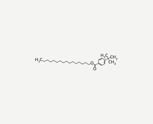 CCCCCCCCCCCCCCCCOC(=O)c1ccc(C(C)(C)C)cc1